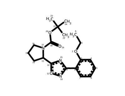 CCOc1ccccc1-c1noc(C2CCCN2C(=O)OC(C)(C)C)n1